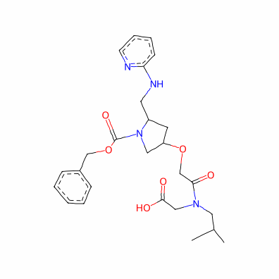 CC(C)CN(CC(=O)O)C(=O)COC1CC(CNc2ccccn2)N(C(=O)OCc2ccccc2)C1